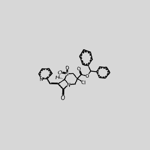 O=C1C(=Cc2ccccn2)[C@@H]2N1CC(Cl)(C(=O)OC(c1ccccc1)c1ccccc1)CS2(=O)=O